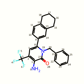 Nc1c(C(F)(F)F)cc(-c2ccc3c(c2)CCCC3)n(Cc2ccccc2)c1=O